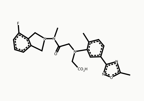 Cc1nc(-c2ccc(C)c(N(CC(=O)O)CC(=O)N(C)N3Cc4cccc(F)c4C3)c2)no1